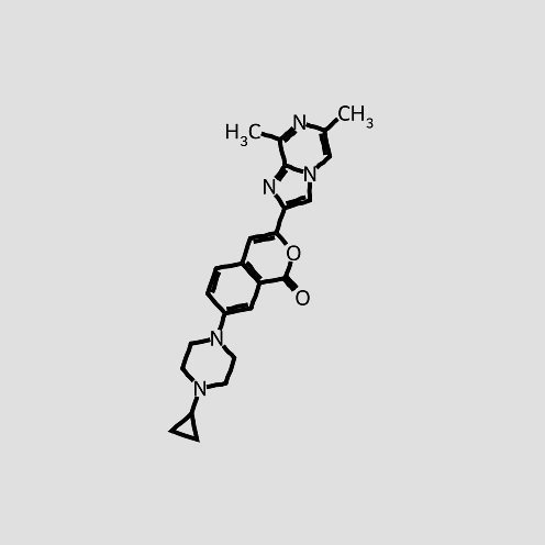 Cc1cn2cc(-c3cc4ccc(N5CCN(C6CC6)CC5)cc4c(=O)o3)nc2c(C)n1